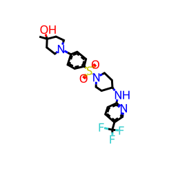 CC1(O)CCN(c2ccc(S(=O)(=O)N3CCC(Nc4ccc(C(F)(F)F)cn4)CC3)cc2)CC1